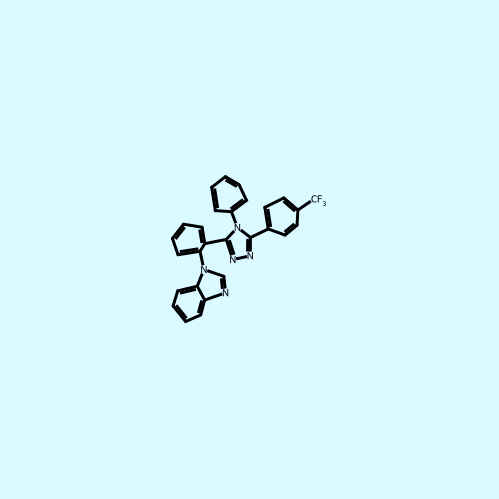 FC(F)(F)c1ccc(-c2nnc(-c3ccccc3-n3cnc4ccccc43)n2-c2ccccc2)cc1